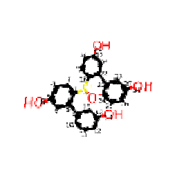 [O-][S+](c1ccc(O)cc1-c1cccc(O)c1)c1ccc(O)cc1-c1cccc(O)c1